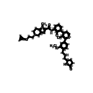 COc1cc(-c2nccc(-c3cccc(NC(=O)c4nc5c(n4C)CCN(CCOC4CC4)C5)c3Cl)c2Cl)ccc1CNCC1CCC(=O)N1